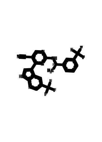 C[C@@H](Nc1ncc(C#N)c(-c2c[nH]c3ncc(C(F)(F)F)cc23)n1)c1cccc(C(F)(F)F)c1